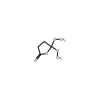 COC1(OC)CCC(=O)O1